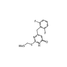 CSCSc1nc(Cc2c(F)cccc2F)cc(=O)[nH]1